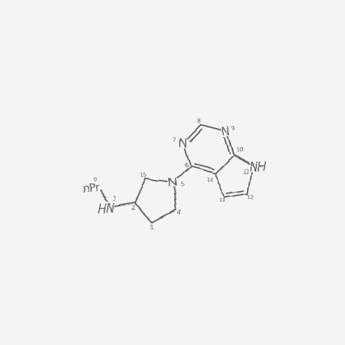 CCCNC1CCN(c2ncnc3[nH]ccc23)C1